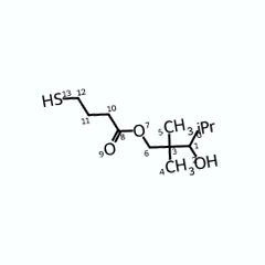 CC(C)C(O)C(C)(C)COC(=O)CCCS